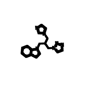 c1ccc2c(c1)ccn2C[C](Cn1ccnc1)Cn1ccnn1